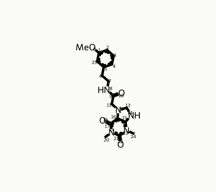 COc1cccc(CCNC(=O)CN2CNc3c2c(=O)n(C)c(=O)n3C)c1